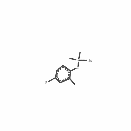 Cc1cc(Br)ccc1O[Si](C)(C)C(C)(C)C